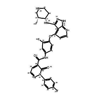 O=C(Nc1ccc(Oc2ccnc3[nH]nc(N[C@H]4CCNC[C@H]4F)c23)c(F)c1)c1ccnn(-c2ccc(F)cc2)c1=O